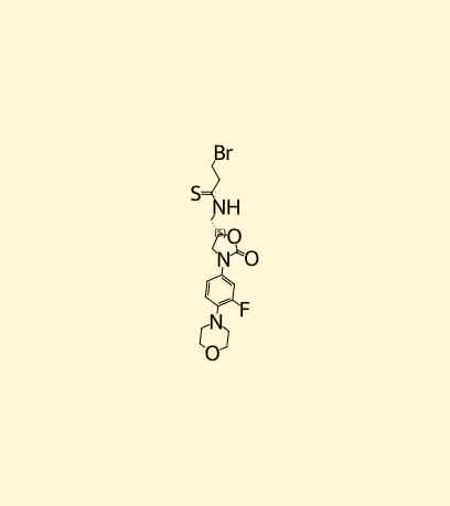 O=C1O[C@@H](CNC(=S)CCBr)CN1c1ccc(N2CCOCC2)c(F)c1